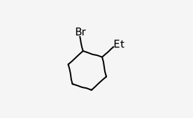 CCC1CCCCC1Br